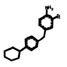 CCc1cc(Cc2ccc(C3CCCCC3)cc2)ccc1N